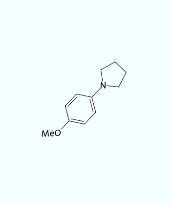 COc1ccc(N2C[CH]CC2)cc1